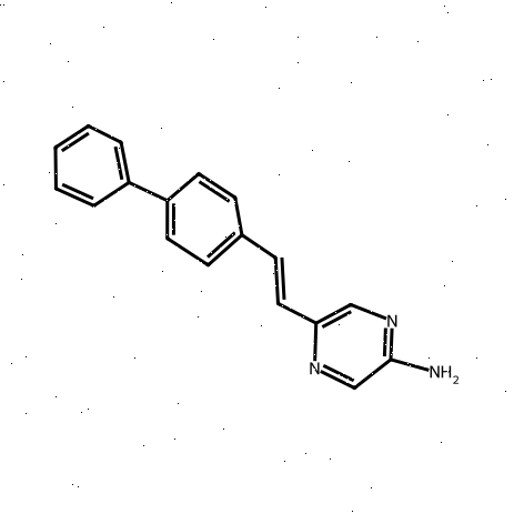 Nc1cnc(C=Cc2ccc(-c3ccccc3)cc2)cn1